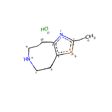 Cc1nc2c(s1)CCNCC2.Cl